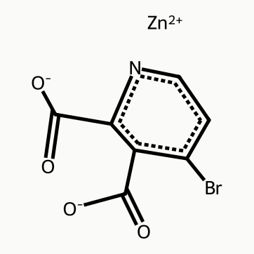 O=C([O-])c1nccc(Br)c1C(=O)[O-].[Zn+2]